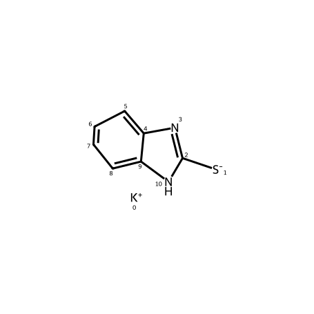 [K+].[S-]c1nc2ccccc2[nH]1